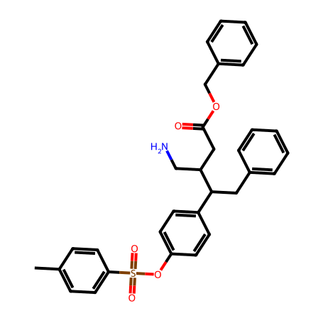 Cc1ccc(S(=O)(=O)Oc2ccc(C(Cc3ccccc3)C(CN)CC(=O)OCc3ccccc3)cc2)cc1